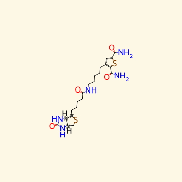 NC(=O)c1cc(CCCCCNC(=O)CCCC[C@H]2SC[C@H]3NC(=O)N[C@H]32)c(C(N)=O)s1